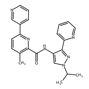 Cc1ccc(-c2cccnc2)nc1C(=O)Nc1cn(C(C)C)nc1-c1ccccn1